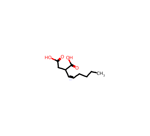 CCCC/C=C\C(CC(=O)O)C(=O)O